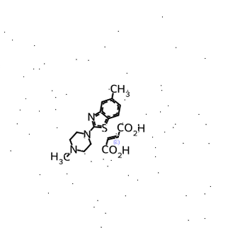 Cc1ccc2sc(N3CCN(C)CC3)nc2c1.O=C(O)/C=C/C(=O)O